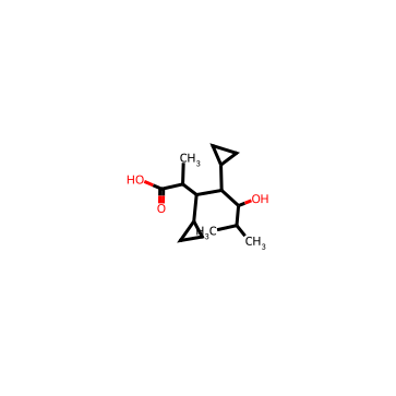 CC(C)C(O)C(C1CC1)C(C1CC1)C(C)C(=O)O